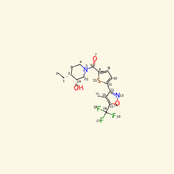 CC[C@@H]1CCN(C(=O)c2ccc(-c3noc(C(F)(F)F)c3C)s2)C[C@@H]1O